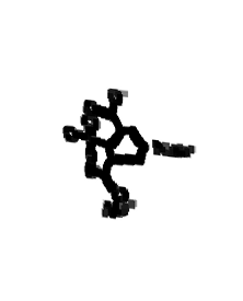 O=C([O-])c1cccc(C(=O)[O-])c1S(=O)(=O)[O-].[Na+].[Na+].[Na+]